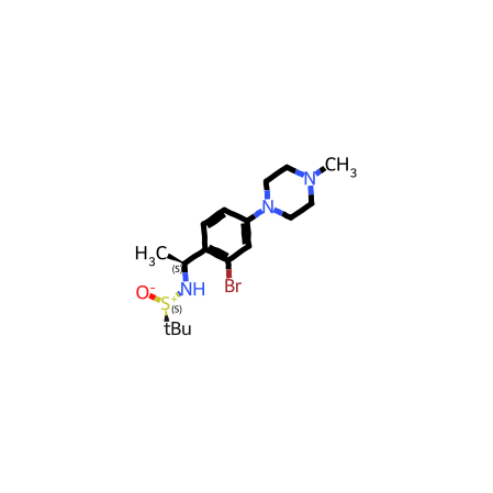 C[C@H](N[S@+]([O-])C(C)(C)C)c1ccc(N2CCN(C)CC2)cc1Br